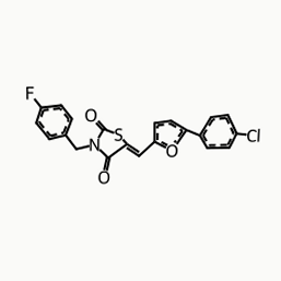 O=C1S/C(=C\c2ccc(-c3ccc(Cl)cc3)o2)C(=O)N1Cc1ccc(F)cc1